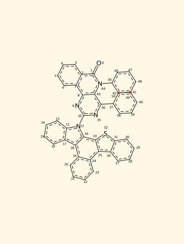 O=c1c2ccccc2c2nc(-n3c4ccccc4c4c5ccccc5c5c6ccccc6sc5c43)nc(-c3ccccc3)c2n1-c1ccccc1